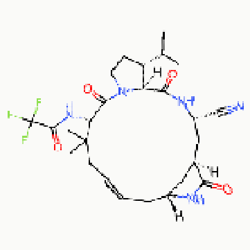 CC(C)[C@H]1CCN2C(=O)[C@@H](NC(=O)C(F)(F)F)C(C)(C)C/C=C/C[C@@H]3C[C@@H](C[C@@H](C#N)NC(=O)[C@H]12)C(=O)N3